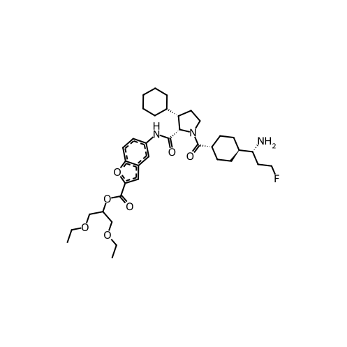 CCOCC(COCC)OC(=O)c1cc2cc(NC(=O)[C@@H]3[C@H](C4CCCCC4)CCN3C(=O)[C@H]3CC[C@H]([C@H](N)CCF)CC3)ccc2o1